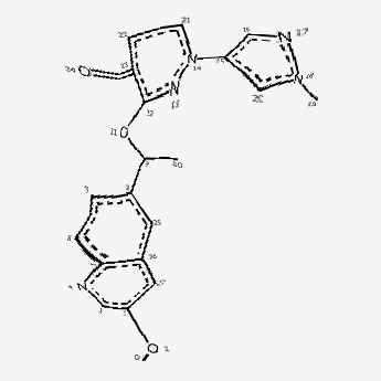 COc1cnc2ccc(C(C)Oc3nn(-c4cnn(C)c4)ccc3=O)cc2c1